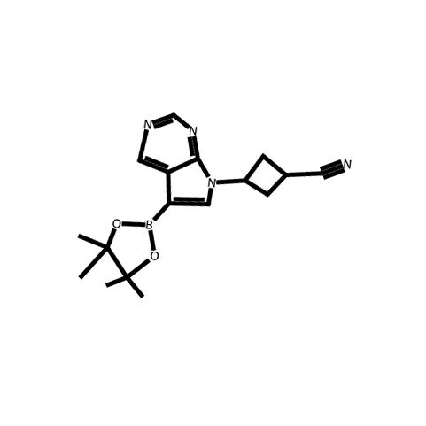 CC1(C)OB(c2cn(C3CC(C#N)C3)c3ncncc23)OC1(C)C